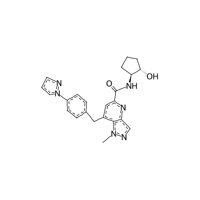 Cn1ncc2nc(C(=O)N[C@H]3CCC[C@@H]3O)cc(Cc3ccc(-n4cccn4)cc3)c21